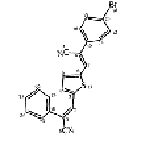 N#CC(=Cc1ccc(C=C(C#N)c2ccc(Br)cc2)s1)c1ccccc1